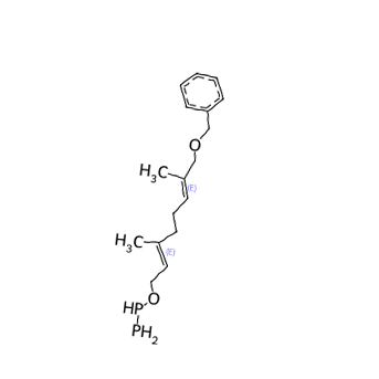 C/C(=C\COPP)CC/C=C(\C)COCc1ccccc1